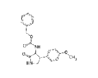 COc1ccc(C2CNC(=O)C2NC(=O)OCc2ccccc2)cc1